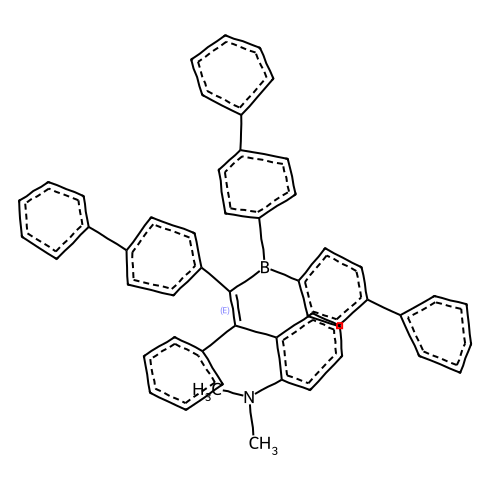 CN(C)c1ccccc1/C(=C(\B(c1ccc(-c2ccccc2)cc1)c1ccc(-c2ccccc2)cc1)c1ccc(-c2ccccc2)cc1)c1ccccc1